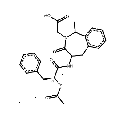 CC(=O)S[C@@H](Cc1ccccc1)C(=O)NC1Cc2ccccc2C(C)N(CC(=O)O)C1=O